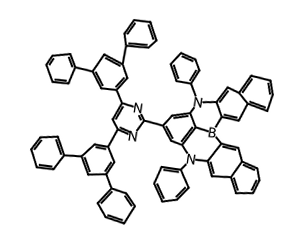 c1ccc(-c2cc(-c3ccccc3)cc(-c3cc(-c4cc(-c5ccccc5)cc(-c5ccccc5)c4)nc(-c4cc5c6c(c4)N(c4ccccc4)c4cc7ccccc7cc4B6c4cc6ccccc6cc4N5c4ccccc4)n3)c2)cc1